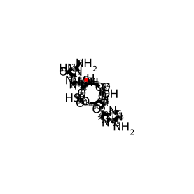 Nc1nc2c(nnn2[C@@H]2S[C@@H]3COP(=O)(O)O[C@H]4C[C@H](c5cnn6c(N)ncnc56)OC4COP(=O)(S)O[C@@H]2[C@@H]3O)c(=O)[nH]1